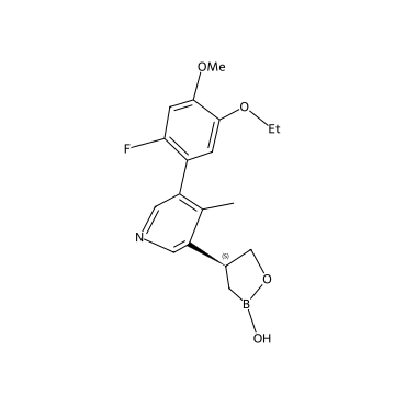 CCOc1cc(-c2cncc([C@H]3COB(O)C3)c2C)c(F)cc1OC